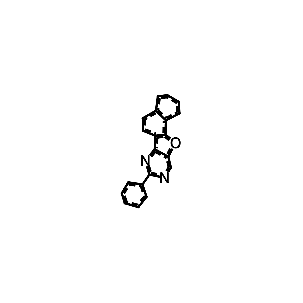 c1ccc(-c2ncc3oc4c5ccccc5ccc4c3n2)cc1